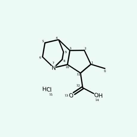 CC1CC2C3CCN(CC3)C2C1C(=O)O.Cl